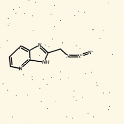 [N-]=[N+]=NCc1nc2cccnc2[nH]1